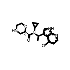 CC(c1c[nH]c2nccc(Cl)c12)N(C(=O)[C@H]1CNCCO1)C1CC1